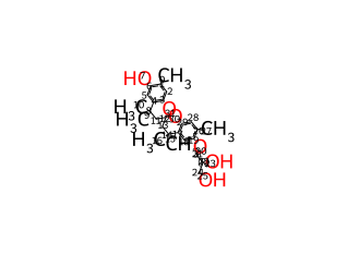 Cc1cc2c(cc1O)C(C)(C)CC1(CC(C)(C)c3cc(OC[C@H](O)CO)c(C)cc3O1)O2